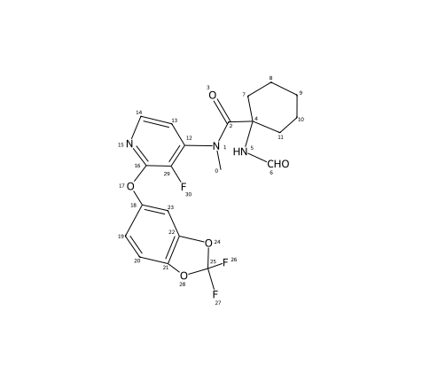 CN(C(=O)C1(NC=O)CCCCC1)c1ccnc(Oc2ccc3c(c2)OC(F)(F)O3)c1F